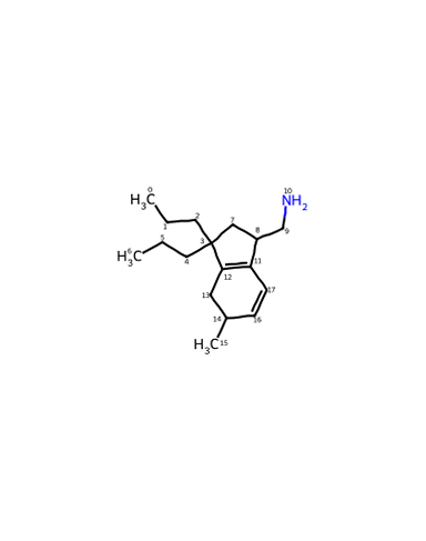 CCCC1(CCC)CC(CN)C2=C1CC(C)C=C2